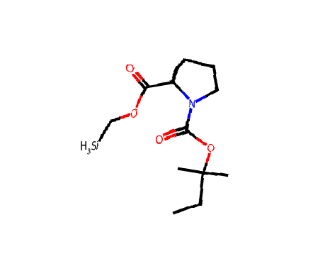 CCC(C)(C)OC(=O)N1CCCC1C(=O)OC[SiH3]